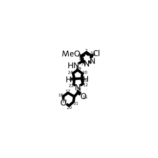 COc1cc(Cl)nnc1NC1C[C@@H]2CN(C(=O)C3CCOCC3)C[C@@H]2C1